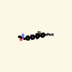 C=CC(=O)NCC1CCC(C2CCC(c3ccc(C4CCC(CCCCC)CC4)c(CC)c3)CC2)CC1